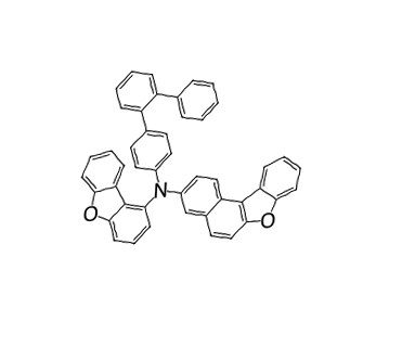 c1ccc(-c2ccccc2-c2ccc(N(c3ccc4c(ccc5oc6ccccc6c54)c3)c3cccc4oc5ccccc5c34)cc2)cc1